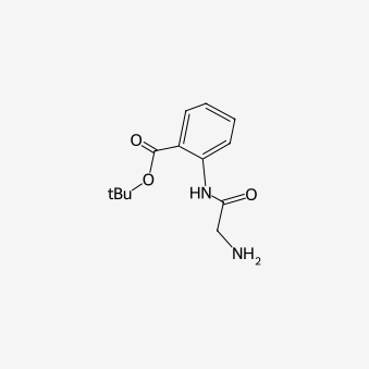 CC(C)(C)OC(=O)c1ccccc1NC(=O)CN